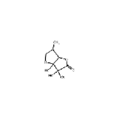 CC1COC2(O)C1OC(=O)C2(O)C(C)(C)C